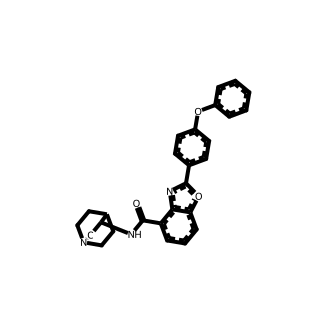 O=C(NC1CN2CCC1CC2)c1cccc2oc(-c3ccc(Oc4ccccc4)cc3)nc12